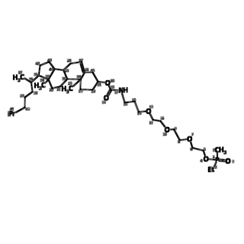 CCP(C)(=O)OCCOCCOCCOCCCNC(=O)OC1CCC2(C)C(=CCC3C2CCC2(C)C(C(C)CCCC(C)C)CCC32)C1